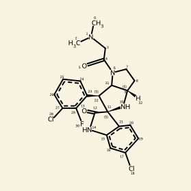 CN(C)CC(=O)N1CC[C@@H]2N[C@@]3(C(=O)Nc4cc(Cl)ccc43)[C@@H](c3cccc(Cl)c3F)C21